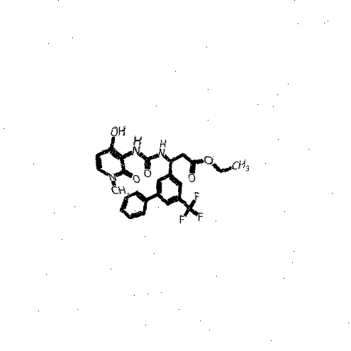 CCOC(=O)CC(NC(=O)Nc1c(O)ccn(C)c1=O)c1cc(-c2ccccc2)cc(C(F)(F)F)c1